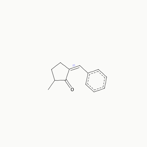 CC1CC/C(=C/c2ccccc2)C1=O